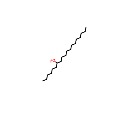 CCCCCCCCCCCCC(O)CCCCCC